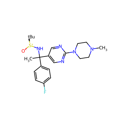 CN1CCN(c2ncc(C(C)(N[S@@+]([O-])C(C)(C)C)c3ccc(F)cc3)cn2)CC1